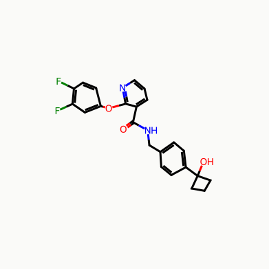 O=C(NCc1ccc(C2(O)CCC2)cc1)c1cccnc1Oc1ccc(F)c(F)c1